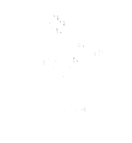 CCCC(CC)C(=O)N(c1cc(C2CCC(C)(C)CC2)sc1C(=O)O)C1CCC(n2ccnn2)CC1